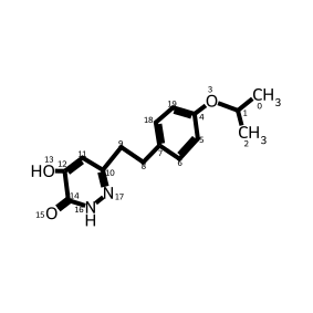 CC(C)Oc1ccc(CCc2cc(O)c(=O)[nH]n2)cc1